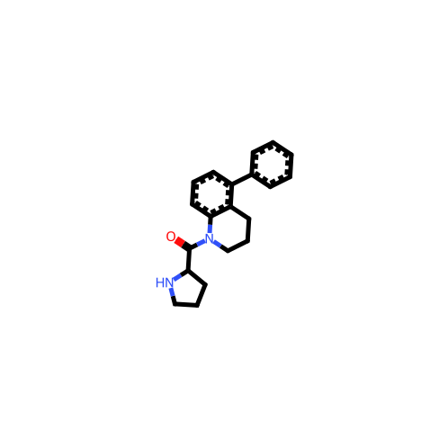 O=C(C1CCCN1)N1CCCc2c(-c3ccccc3)cccc21